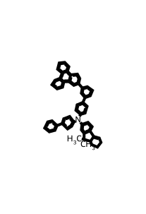 CC1(C)c2cc(N(c3ccc(-c4ccccc4)cc3)c3ccc(-c4cccc(-c5ccc6c7ccccc7c7ccccc7c6c5)c4)cc3)ccc2C2=CCCCC21